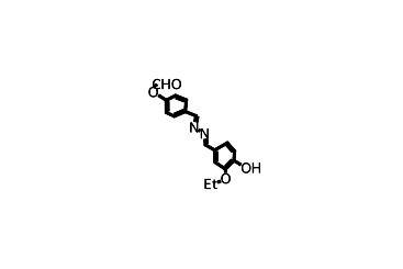 CCOc1cc(/C=N/N=C/c2ccc(OC=O)cc2)ccc1O